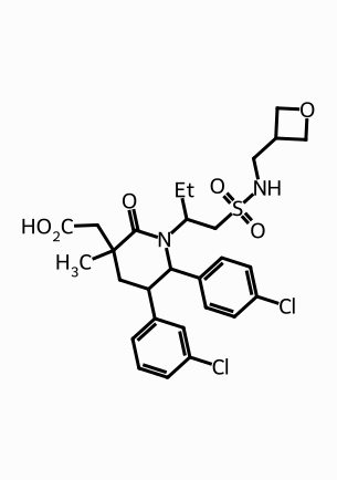 CCC(CS(=O)(=O)NCC1COC1)N1C(=O)C(C)(CC(=O)O)CC(c2cccc(Cl)c2)C1c1ccc(Cl)cc1